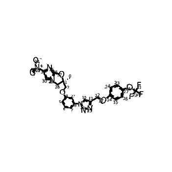 C[C@]1(COc2cccc(-n3cc(COc4ccc(OC(F)(F)F)cc4)nn3)c2)Cn2cc([N+](=O)[O-])nc2O1